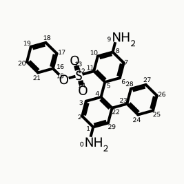 Nc1ccc(-c2ccc(N)cc2S(=O)(=O)Oc2ccccc2)c(-c2ccccc2)c1